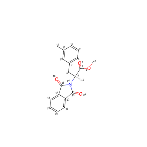 COC(=O)[C@](C)(Cc1cccc(C)c1)N1C(=O)c2ccccc2C1=O